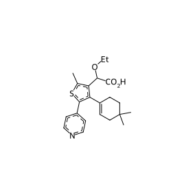 CCOC(C(=O)O)c1c(C)sc(-c2ccncc2)c1C1=CCC(C)(C)CC1